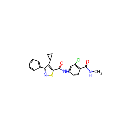 CNC(=O)c1ccc(NC(=O)c2snc(-c3ccccc3)c2C2CC2)cc1Cl